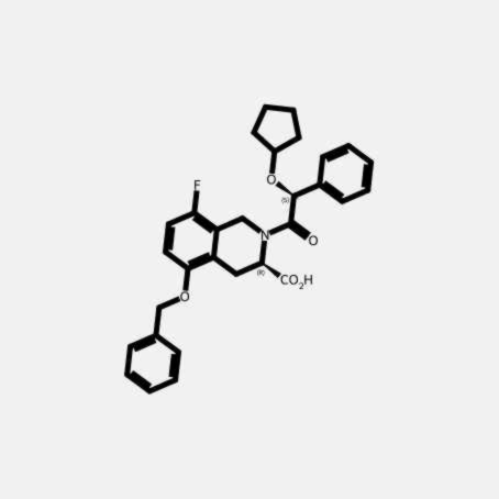 O=C(O)[C@H]1Cc2c(OCc3ccccc3)ccc(F)c2CN1C(=O)[C@@H](OC1CCCC1)c1ccccc1